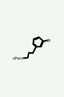 CCCCCCCCc1cccc(Br)c1